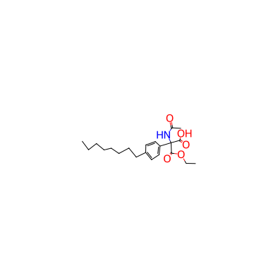 CCCCCCCCc1ccc(C(NC(C)=O)(C(=O)O)C(=O)OCC)cc1